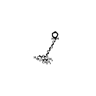 CCCOP(OCCOCCOCCOC[C@@H]1[C@@H]2CCC#CCC[C@@H]21)N(C(C)C)C(C)C